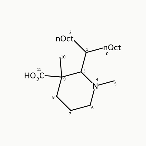 CCCCCCCCC(CCCCCCCC)C1N(C)CCCC1(C)C(=O)O